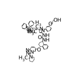 C[C@H]1CCCCN1c1nnc2ccc(O[C@@H]3CC[C@H](NC(=O)Nc4cc(C(C)(C)CO[Si](c5ccccc5)(c5ccccc5)C(C)(C)C)nn4-c4cccc(OCCO)c4)c4ccccc43)cn12